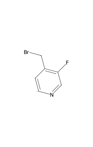 Fc1cn[c]cc1CBr